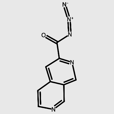 [N-]=[N+]=NC(=O)c1cc2ccncc2cn1